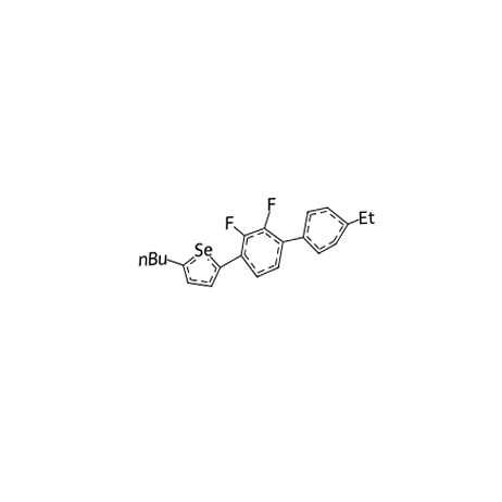 CCCCc1ccc(-c2ccc(-c3ccc(CC)cc3)c(F)c2F)[se]1